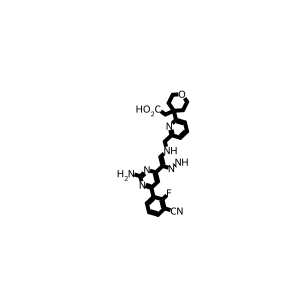 N#Cc1cccc(-c2cc(/C(=C/NCc3cccc(C4(CC(=O)O)CCOCC4)n3)N=N)nc(N)n2)c1F